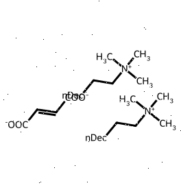 CCCCCCCCCCCC[N+](C)(C)C.CCCCCCCCCCCC[N+](C)(C)C.O=C([O-])C=CC(=O)[O-]